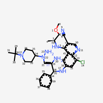 COC[C@H](C)Nc1c(C#N)cnc2c(Cl)cc(N[C@H](/C(N)=C/N(N)C3CCN(C(C)(C)C)CC3)c3ccccc3)cc12